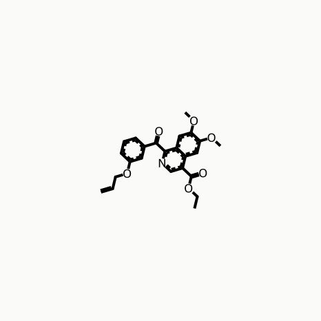 C=CCOc1cccc(C(=O)c2ncc(C(=O)OCC)c3cc(OC)c(OC)cc23)c1